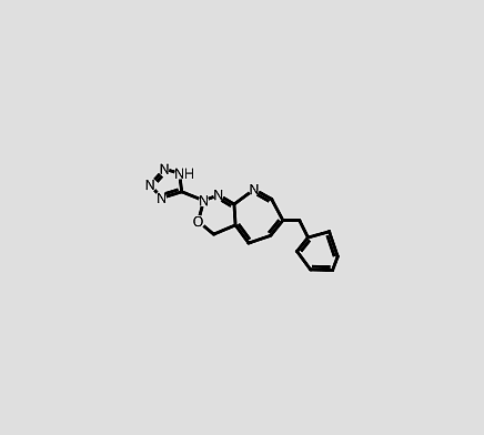 C1=NC2=NN(c3nnn[nH]3)OCC2=CC=C1Cc1ccccc1